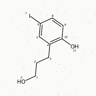 OCCCc1cc(I)ccc1O